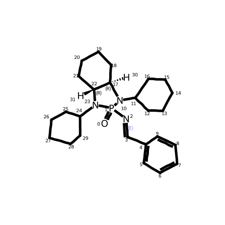 O=P1(/N=C/c2ccccc2)N(C2CCCCC2)[C@@H]2CCCC[C@H]2N1C1CCCCC1